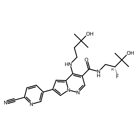 CC(C)(O)CCNc1c(C(=O)NC[C@@H](F)C(C)(C)O)cnn2cc(-c3ccc(C#N)nc3)cc12